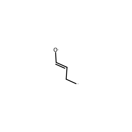 [CH2]CC=C[O]